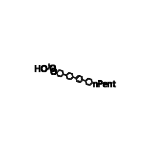 C=C(CO)OOC1CCC(C2CCC(c3ccc(C4CCC(CCCCC)CC4)cc3)CC2)CC1